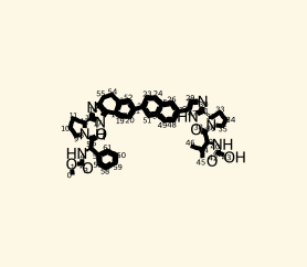 COC(=O)N[C@@H](C(=O)N1CCC[C@H]1c1nc2c([nH]1)-c1ccc(-c3ccc4cc(-c5cnc([C@@H]6CCCN6C(=O)[C@@H](NC(=O)O)C(C)C)[nH]5)ccc4c3)cc1CC2)c1ccccc1